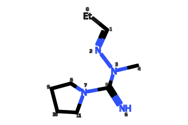 CC/C=N/N(C)C(=N)N1CCCC1